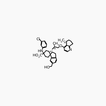 C[C@@H](COc1ccnc2c1[C@H](C)CCC2)C[C@@H]1Cc2ccc(CO)cc2C12CCC(Nc1cccc(Cl)c1)(C(=O)O)CC2